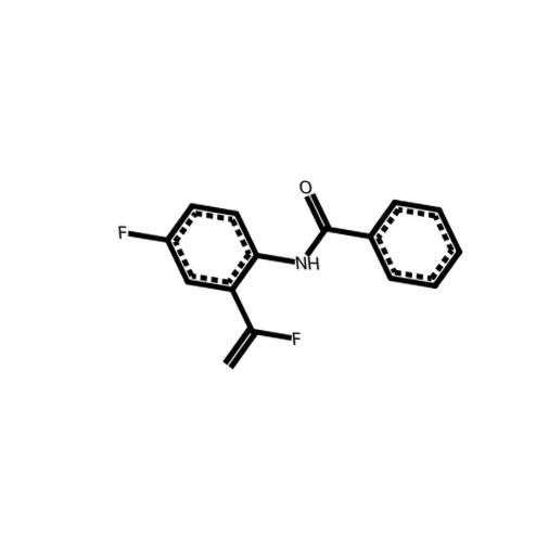 C=C(F)c1cc(F)ccc1NC(=O)c1ccccc1